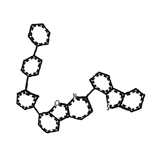 c1ccc(-c2ccc(-c3cccc(-c4cccc5c4oc4nc(-c6cccc7c6sc6ccccc67)ccc45)c3)cc2)cc1